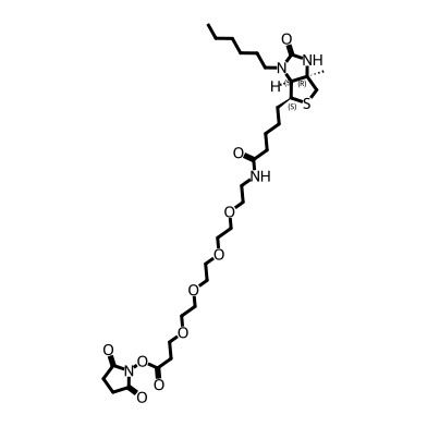 CCCCCCN1C(=O)N[C@@]2(C)CS[C@@H](CCCCC(=O)NCCOCCOCCOCCOCCC(=O)ON3C(=O)CCC3=O)[C@@H]12